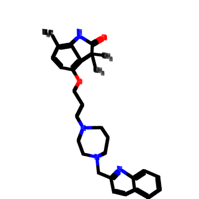 Cc1ccc(OCCCN2CCCN(Cc3ccc4ccccc4n3)CC2)c2c1NC(=O)C2(C)C